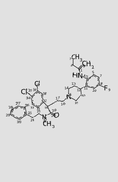 C=C(CC)Nc1ccc(F)cc1C1CCN(CCC(C(=O)N(C)CCc2ccccc2)c2ccc(Cl)c(Cl)c2)CC1